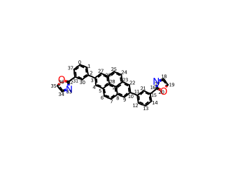 c1cc(-c2cc3ccc4cc(-c5cccc(-c6ncco6)c5)cc5ccc(c2)c3c45)cc(-c2ncco2)c1